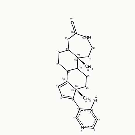 CCc1ccncc1C1=CC=C2C3CCC4CC(=O)NCC[C@]4(C)C3CC[C@]12C